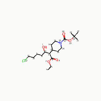 CCOC(=O)C(C(O)CCCCCl)C1CCN(C(=O)OC(C)(C)C)CC1